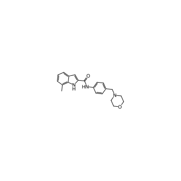 Cc1cccc2cc(C(=O)Nc3ccc(CN4CCOCC4)cc3)[nH]c12